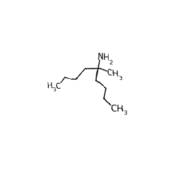 CCCCC(C)(N)CCCC